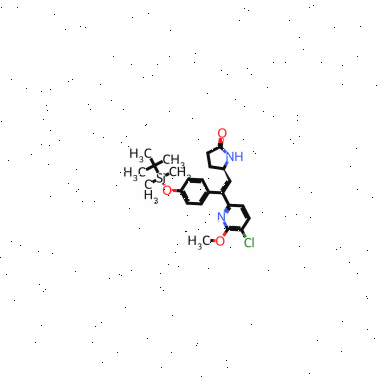 COc1nc(/C(=C/[C@H]2CCC(=O)N2)c2ccc(O[Si](C)(C)C(C)(C)C)cc2)ccc1Cl